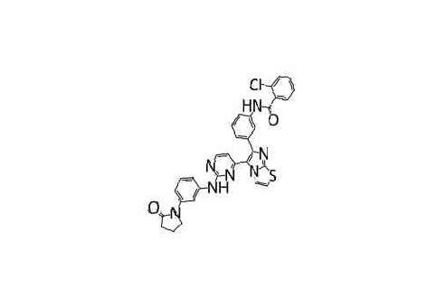 O=C(Nc1cccc(-c2nc3sccn3c2-c2ccnc(Nc3cccc(N4CCCC4=O)c3)n2)c1)c1ccccc1Cl